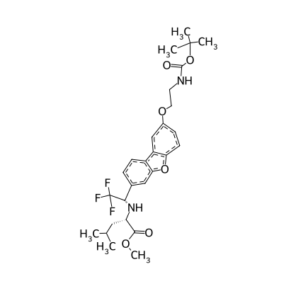 COC(=O)[C@H](CC(C)C)N[C@@H](c1ccc2c(c1)oc1ccc(OCCNC(=O)OC(C)(C)C)cc12)C(F)(F)F